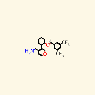 C[C@@H](OC1CCC=CC1C1=C(CN)C=COC1)c1cc(C(F)(F)F)cc(C(F)(F)F)c1